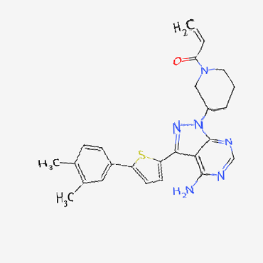 C=CC(=O)N1CCCC(n2nc(-c3ccc(-c4ccc(C)c(C)c4)s3)c3c(N)ncnc32)C1